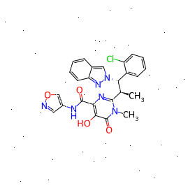 C[C@@H](c1nc(C(=O)Nc2cnoc2)c(O)c(=O)n1C)[C@@H](c1ccccc1Cl)n1cc2ccccc2n1